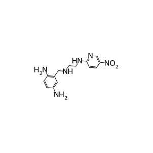 Nc1ccc(N)c(CNCCNc2ccc([N+](=O)[O-])cn2)c1